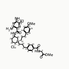 COC(=O)CNC(=O)c1ccc(CCC[N+]2(CCCc3ccc(OC)cc3)CCCC(NC(=O)c3nc(Cl)c(N)nc3N)C2)cc1.[Cl-]